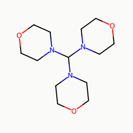 C1CN(C(N2CCOCC2)N2CCOCC2)CCO1